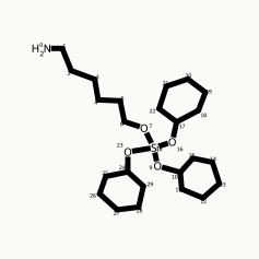 NCCCCCCO[Si](OC1CCCCC1)(OC1CCCCC1)OC1CCCCC1